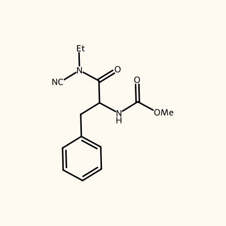 CCN(C#N)C(=O)C(Cc1ccccc1)NC(=O)OC